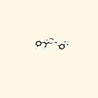 CS(=O)(=O)c1cccc(NC(=O)N2CCn3nc(-c4cccc(F)c4)c(C(N)=O)c3C2)c1